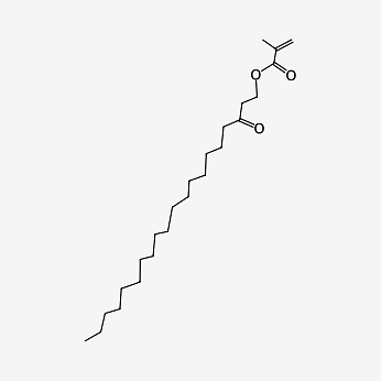 C=C(C)C(=O)OCCC(=O)CCCCCCCCCCCCCCCCC